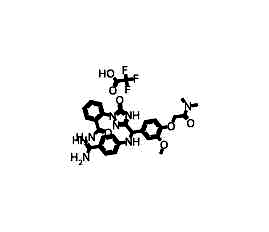 COc1cc(C(Nc2ccc(C(=N)N)cc2)c2nn(-c3ccccc3C(N)=O)c(=O)[nH]2)ccc1OCC(=O)N(C)C.O=C(O)C(F)(F)F